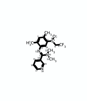 Cc1cc(C)c([S+]([O-])CC(F)(F)F)cc1/N=C(/c1cccnc1)N(C)C